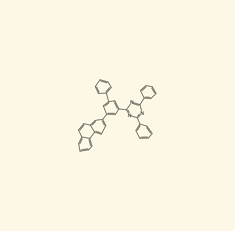 c1ccc(-c2cc(-c3ccc4c(ccc5ccccc54)c3)cc(-c3nc(-c4ccccc4)nc(-c4ccccc4)n3)c2)cc1